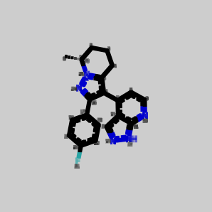 C[C@@H]1CCCc2c(-c3ccnc4[nH]ncc34)c(-c3ccc(F)cc3)nn21